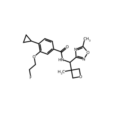 Cc1nc(C(NC(=O)c2ccc(C3CC3)c(OCCF)c2)C2(C)COC2)no1